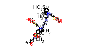 CC(C)C(=O)CCCN(C)S(=O)(=O)c1ccc2c(c1)C(C)(C)C(/C=C/C=C/C=C/C=C1/N(CCCSOOO)c3ccc(S(=O)(=O)O)cc3C1(C)C)=[N+]2CCCSOOO